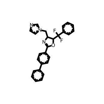 FC(F)(c1ccccc1)C1OC(c2ccc(-c3ccccc3)cc2)=NC1Cn1ccnc1